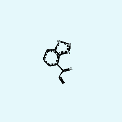 C=CC(=O)c1cccc2[nH]nnc12